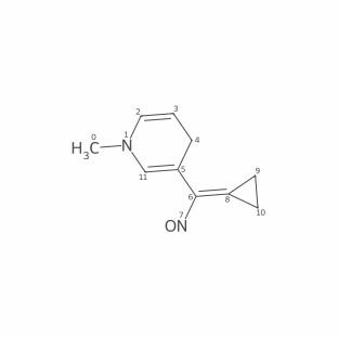 CN1C=CCC(C(N=O)=C2CC2)=C1